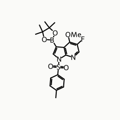 COc1c(F)cnc2c1c(B1OC(C)(C)C(C)(C)O1)cn2S(=O)(=O)c1ccc(C)cc1